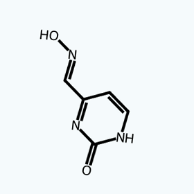 O=c1nc(/C=N/O)cc[nH]1